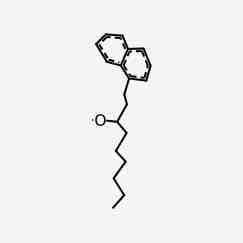 CCCCCCC([O])CCc1cccc2ccccc12